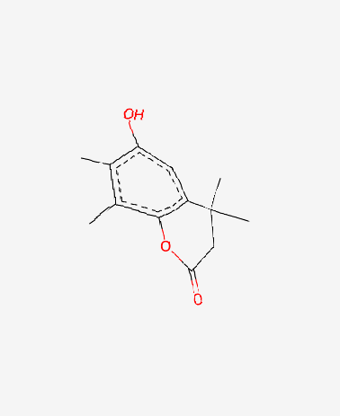 Cc1c(O)cc2c(c1C)OC(=O)CC2(C)C